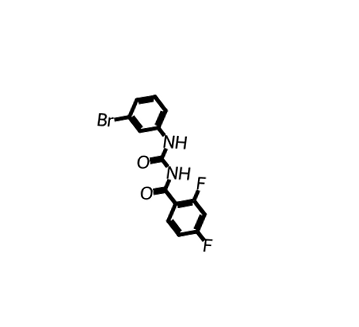 O=C(NC(=O)c1ccc(F)cc1F)Nc1cccc(Br)c1